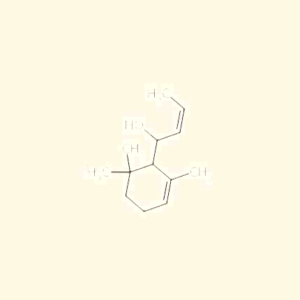 C/C=C\C(O)C1C(C)=CCCC1(C)C